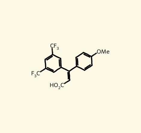 COc1ccc(/C(=C/C(=O)O)c2cc(C(F)(F)F)cc(C(F)(F)F)c2)cc1